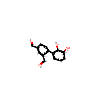 O=Cc1ccc(-c2cccc(O)c2O)c(C=O)c1